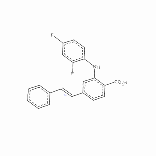 O=C(O)c1ccc(/C=C/c2ccccc2)cc1Nc1ccc(F)cc1F